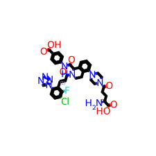 N[C@@H](CCC(=O)N1CCN(c2cccc3c2CCN(C(=O)/C=C/c2c(-n4cnnn4)ccc(Cl)c2F)C3C(=O)Nc2ccc(C(=O)O)cc2)CC1)C(=O)O